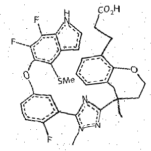 CSc1c(Oc2ccc(F)c(-c3nc(C4(C)CCOc5c(CCC(=O)O)cccc54)nn3C)c2)c(F)c(F)c2[nH]ccc12